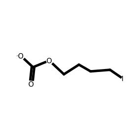 [O]C(=O)OCCCCI